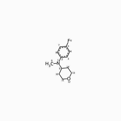 CN(c1ccc(F)cc1)C1CCOCC1